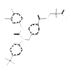 CC(C)(C)c1ccc(N(Cc2ccc(C(=O)NCC(F)(F)C(=O)O)cc2)C(=O)Nc2ccc(Cl)c(Cl)c2)cc1